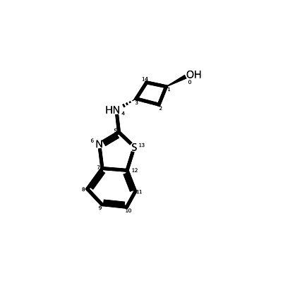 O[C@H]1C[C@H](Nc2nc3ccccc3s2)C1